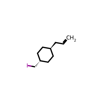 C=CC[C@H]1CC[C@H](CI)CC1